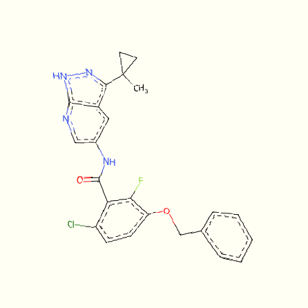 CC1(c2n[nH]c3ncc(NC(=O)c4c(Cl)ccc(OCc5ccccc5)c4F)cc23)CC1